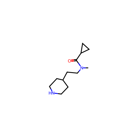 CN(CCC1CCNCC1)C(=O)C1CC1